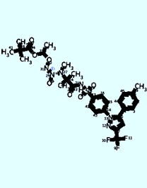 Cc1ccc(-c2cc(C(F)(F)F)nn2-c2ccc(S(=O)(=O)NC(=O)C(C)(C)N(C)/[N+]([O-])=N\OC(C)OC(=O)C(C)(C)C)cc2)cc1